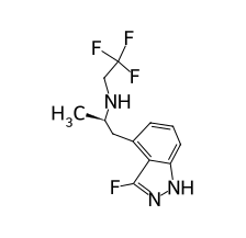 C[C@H](Cc1cccc2[nH]nc(F)c12)NCC(F)(F)F